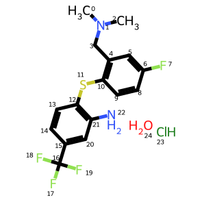 CN(C)Cc1cc(F)ccc1Sc1ccc(C(F)(F)F)cc1N.Cl.O